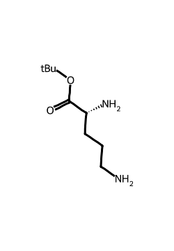 CC(C)(C)OC(=O)[C@H](N)CCCN